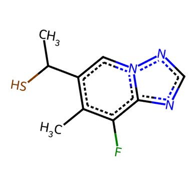 Cc1c(C(C)S)cn2ncnc2c1F